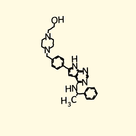 CC(Nc1ncnc2[nH]c(-c3ccc(CN4CCN(CCO)CC4)cc3)cc12)c1ccccc1